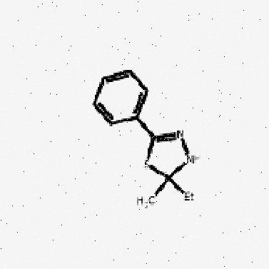 CCC1(C)NN=C(c2ccccc2)S1